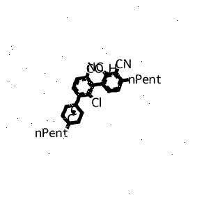 CCCCCc1ccc(-c2c(C(=O)O)ccc(C34CCC(CCCCC)(CC3)CC4)c2Cl)c(C#N)c1C#N